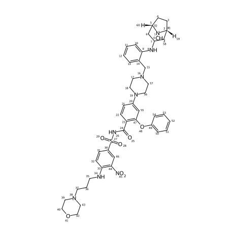 CN1[C@@H]2CC[C@H]1CC(Nc1ccccc1CN1CCN(c3ccc(C(=O)NS(=O)(=O)c4ccc(NCCCN5CCOCC5)c([N+](=O)[O-])c4)c(Oc4ccccc4)c3)CC1)C2